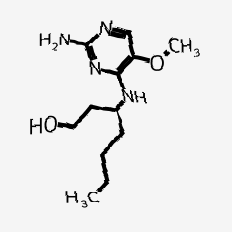 CCCC[C@@H](CCO)Nc1nc(N)ncc1OC